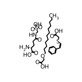 CCCCCCCCCCCCOCC(=O)O.N[C@H](CCC(=O)NCS(=O)(=O)O)C(=O)O.O=C(O)CS/C=C\c1ccccc1